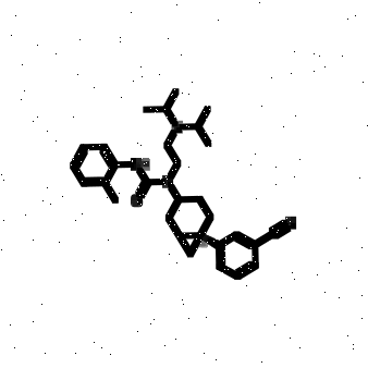 Cc1ccccc1NC(=O)N(CCN(C(C)C)C(C)C)C1CC[C@]2(c3cccc(C#N)c3)CC2C1